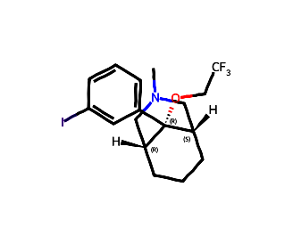 CN1C[C@H]2CCC[C@@H](C1)[C@]2(OCC(F)(F)F)c1cccc(I)c1